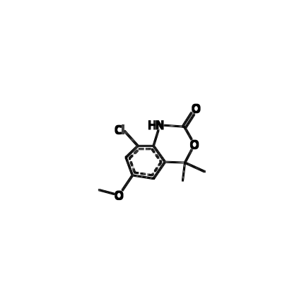 COc1cc(Cl)c2c(c1)C(C)(C)OC(=O)N2